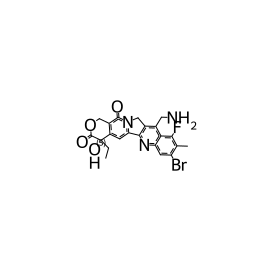 CC[C@@]1(O)C(=O)OCc2c1cc1n(c2=O)Cc2c-1nc1cc(Br)c(C)c(F)c1c2CN